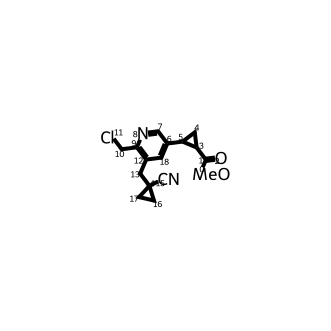 COC(=O)C1CC1c1cnc(CCl)c(CC2(C#N)CC2)c1